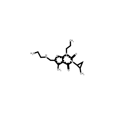 CCCn1c(=O)n(C2CC2C)c(=O)c2c(C)c(CNCCN)sc21